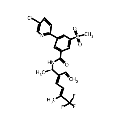 C=C/C(=C\C=C(/C)C(F)(F)F)[C@@H](C)NC(=O)c1cc(-c2ccc(Cl)cn2)cc(S(C)(=O)=O)c1